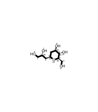 OC[C@H](O)C[C@H]1C[C@@H](O)[C@H](O)[C@@H](CO)O1